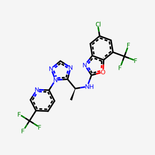 C[C@H](Nc1nc2cc(Cl)cc(C(F)(F)F)c2o1)c1ncnn1-c1ccc(C(F)(F)F)cn1